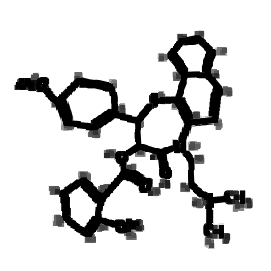 COc1ccc(C2Sc3c(ccc4ccccc34)N(CCN(C)C)C(=O)C2OC(=O)c2ccccc2OC(C)=O)cc1